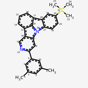 Cc1cc(C)cc(-c2cc3c(cn2)c2cccc4c5cc(S(C)(C)C)ccc5n3c42)c1